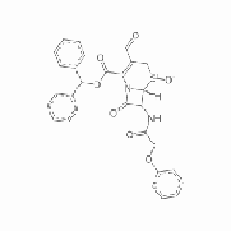 O=CC1=C(C(=O)OC(c2ccccc2)c2ccccc2)N2C(=O)C(NC(=O)COc3ccccc3)[C@H]2[S+]([O-])C1